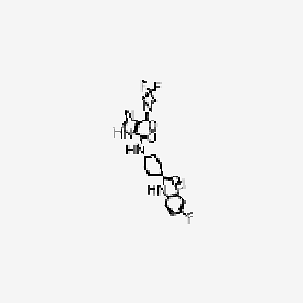 O=C(N[C@H]1CC[C@H](C(=O)Nc2ccc(F)cc2Cl)CC1)c1[nH]cnc1C(=O)N1CC(F)(F)C1